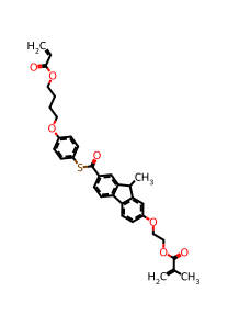 C=CC(=O)OCCCCOc1ccc(SC(=O)c2ccc3c(c2)C(C)c2cc(OCCOC(=O)C(=C)C)ccc2-3)cc1